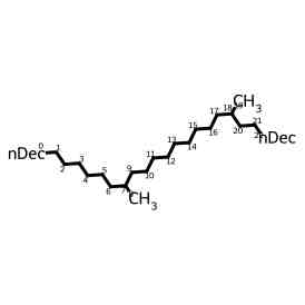 CCCCCCCCCCCCCCCCC(C)CCCCCCCCCC(C)CCCCCCCCCCCC